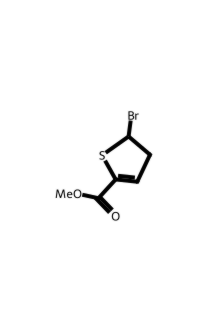 COC(=O)C1=CCC(Br)S1